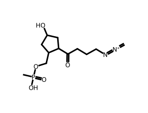 C=[N+]=NCCCC(=O)C1CC(O)CC1COP(C)(=O)O